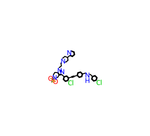 CS(=O)(=O)N1CCc2c(c(-c3ccc(Cl)c(C#Cc4ccc(CNCc5ccc(Cl)cc5)cc4)c3)nn2CCCN2CCC(c3ccccn3)CC2)C1